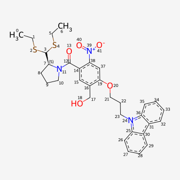 CCSC(SCC)[C@@H]1CCCN1C(=O)c1cc(CO)c(OCCCn2c3ccccc3c3ccccc32)cc1[N+](=O)[O-]